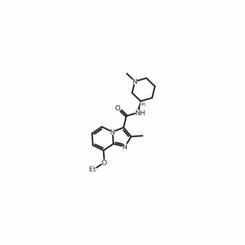 CCOc1cccn2c(C(=O)N[C@@H]3CCCN(C)C3)c(C)nc12